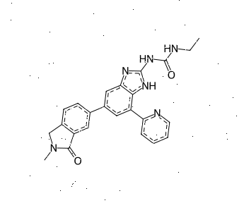 CCNC(=O)Nc1nc2cc(-c3ccc4c(c3)C(=O)N(C)C4)cc(-c3ccccn3)c2[nH]1